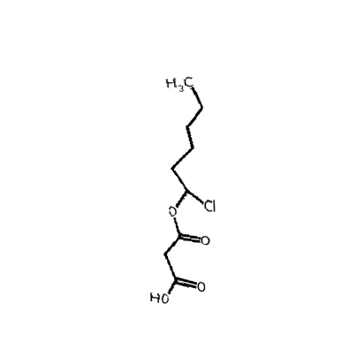 CCCCCC(Cl)OC(=O)CC(=O)O